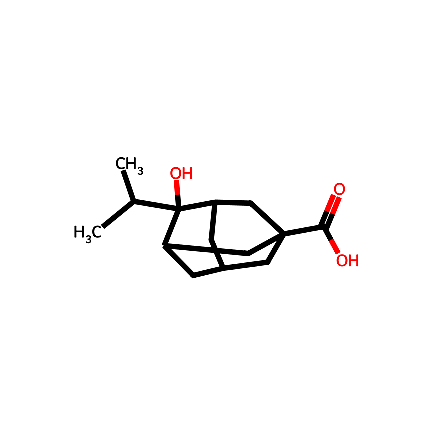 CC(C)C1(O)C2CC3CC1CC(C(=O)O)(C3)C2